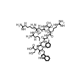 C[C@H](NC(=O)[C@H](CS)NC(=O)[C@@H](N)CCCNC(=N)N)C(=O)N[C@@H](CCCNC(=N)N)C(=O)N[C@H](Cc1ccccc1)C(=O)N[C@@H](CCCNC(=N)N)C(=O)N[C@@H](Cc1c[nH]c2ccccc12)C(=O)N[C@@H](CS)C(=O)O